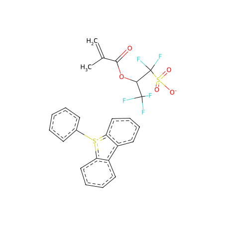 C=C(C)C(=O)OC(C(F)(F)F)C(F)(F)S(=O)(=O)[O-].c1ccc(-[s+]2c3ccccc3c3ccccc32)cc1